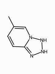 CC1=CN2NNN=C2C=C1